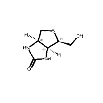 O=C1N[C@H]2[C@H](CS[C@H]2CO)N1